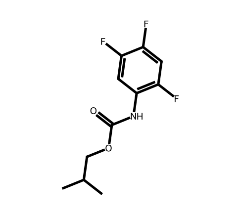 CC(C)COC(=O)Nc1cc(F)c(F)cc1F